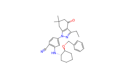 CCc1nn(-c2ccc(C#N)c(N[C@H]3CCCC[C@@H]3OCc3ccccc3)c2)c2c1C(=O)CC(C)(C)C2